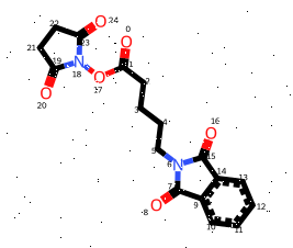 O=C(CCCCN1C(=O)c2ccccc2C1=O)ON1C(=O)CCC1=O